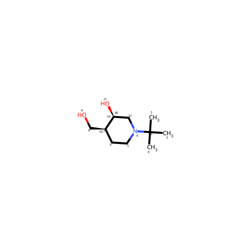 CC(C)(C)N1CC[C@@H](CO)[C@@H](O)C1